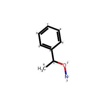 CC(O[N])c1ccccc1